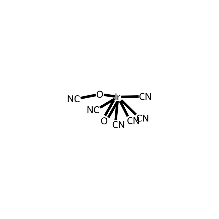 N#C[O][Ir](=[O])([C]#N)([C]#N)([C]#N)([C]#N)[C]#N